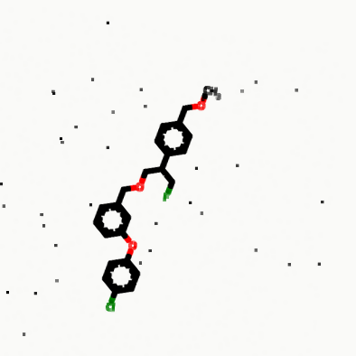 COCc1ccc(C(CF)COCc2cccc(Oc3ccc(Cl)cc3)c2)cc1